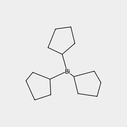 C1CC[CH]([Bi]([CH]2CCCC2)[CH]2CCCC2)C1